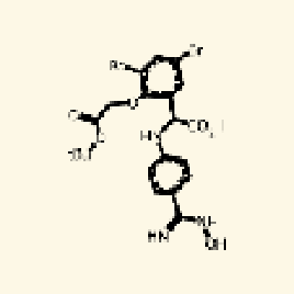 CC(C)(C)OC(=O)COc1c(Br)cc(Br)cc1C(Nc1ccc(C(=N)NO)cc1)C(=O)O